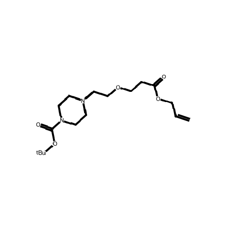 C=CCOC(=O)CCOCCN1CCN(C(=O)OC(C)(C)C)CC1